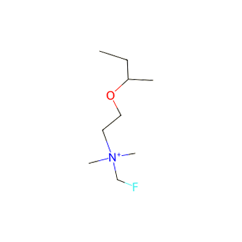 CCC(C)OCC[N+](C)(C)CF